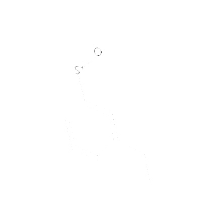 CCc1cccc([S+]=O)c1